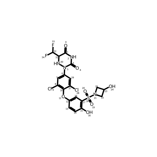 O=C1NC(=O)N(c2cc(Cl)c(Oc3ccc(O)c(S(=O)(=O)N4CC(O)C4)c3)c(Cl)c2)NC1C(F)F